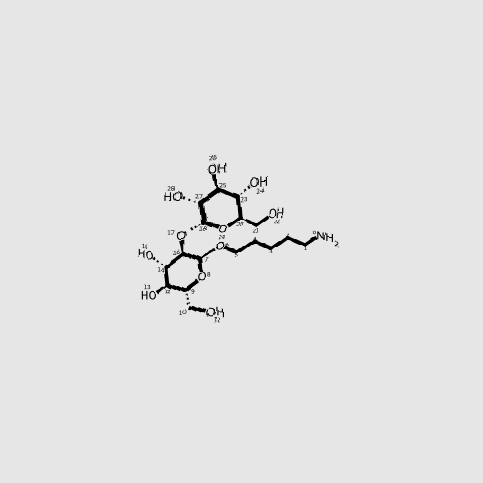 NCCCCCO[C@H]1O[C@H](CO)[C@@H](O)[C@H](O)[C@H]1O[C@H]1O[C@H](CO)[C@@H](O)[C@H](O)[C@H]1O